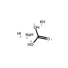 I.O=C(O)O.[KH].[NaH]